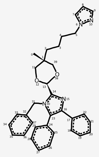 C[C@]1(CCCCn2cccn2)CO[C@H](c2nc(-c3ccccc3)c(-c3ccccc3)n2Cc2ccccc2)OC1